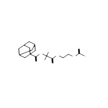 CCC(C)C(=O)OCCOC(=O)C(F)(F)OC(=O)C12CC3CC(CC(C3)C1)C2